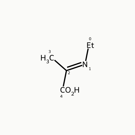 CC/N=C(\C)C(=O)O